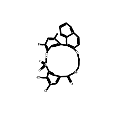 O=C1NCCOc2ccc3ccccc3c2-c2cc(c(F)cc2F)NS(=O)(=O)c2cc1cc(Cl)c2O